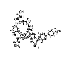 Cc1nc(-c2ccc([Si](C)(C)C)cc2)nc(C)c1C(=O)NC(CCN)C(=O)N(C)C1C(=O)NC(C)C(=O)NC(C(=O)NCC#N)Cc2ccc(O)c(c2)-c2cc1ccc2OCCN